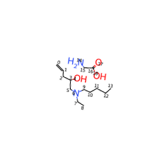 C=CCC(O)CN(CC)CCCCC.NCC(=O)O